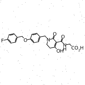 O=C(O)CNC(=O)C1=C(O)CCN(Cc2ccc(OCc3ccc(F)cc3)cc2)C1=O